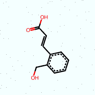 O=C(O)C=Cc1ccccc1CO